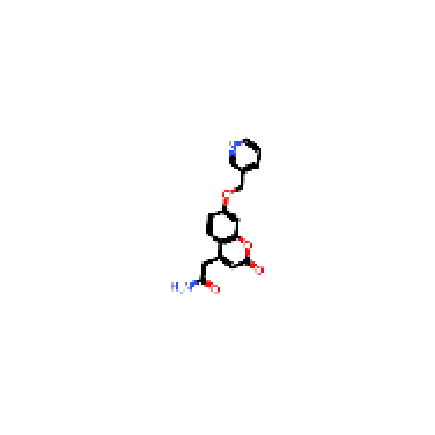 NC(=O)Cc1cc(=O)oc2cc(OCc3cccnc3)ccc12